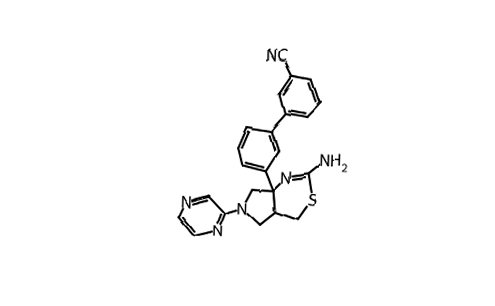 N#Cc1cccc(-c2cccc(C34CN(c5cnccn5)CC3CSC(N)=N4)c2)c1